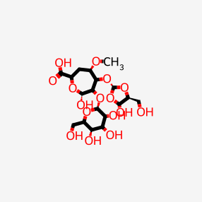 CO[C@@H]1CC(C(=O)O)O[C@@H](O)C(O[C@@H]2OC(CO)[C@H](O)C(O)C2O)C1O[C@H]1OC(O)[C@H](CO)O1